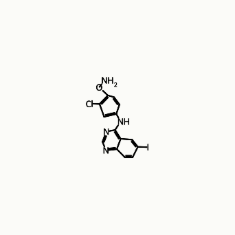 NOc1ccc(Nc2ncnc3ccc(I)cc23)cc1Cl